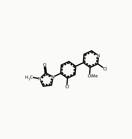 COc1c(-c2ccc(-n3ccn(C)c3=O)c(Cl)c2)ccnc1Cl